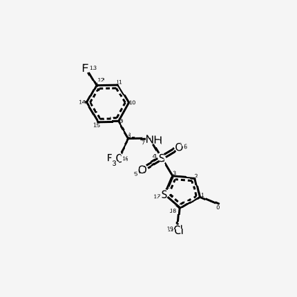 Cc1cc(S(=O)(=O)NC(c2ccc(F)cc2)C(F)(F)F)sc1Cl